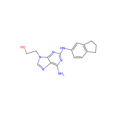 Nc1nc(Nc2ccc3c(c2)CCC3)nc2c1ncn2CCO